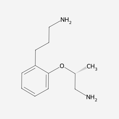 C[C@H](CN)Oc1ccccc1CCCN